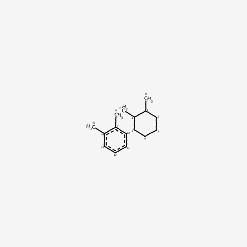 CC1CCCCC1C.Cc1ccccc1C